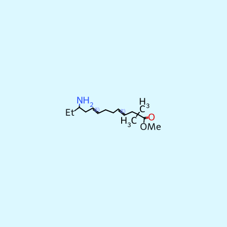 CCC(N)C/C=C/CC/C=C/CC(C)(C)C(=O)OC